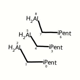 CCCC(C)[CH2][AlH2].CCCC(C)[CH2][AlH2].CCCC(C)[CH2][AlH2]